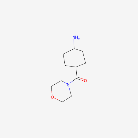 NC1CCC(C(=O)N2CCOCC2)CC1